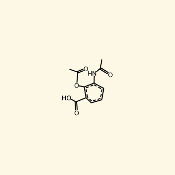 CC(=O)Nc1cccc(C(=O)O)c1OC(C)=O